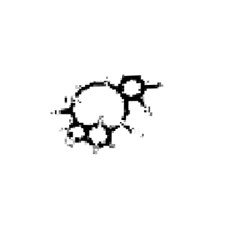 CN1Cc2c(ccc(F)c2Cl)OCCNC(=O)c2n[nH]c3ncc1nc23